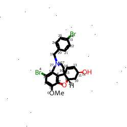 COc1cc(Br)c2c3c1O[C@H]1C[C@H](O)C=CC31CCN(Cc1ccc(Br)cc1)C2